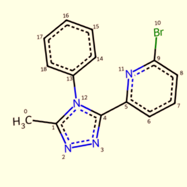 Cc1nnc(-c2cccc(Br)n2)n1-c1ccccc1